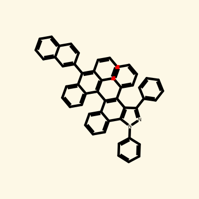 c1ccc(-c2nn(-c3ccccc3)c3c2c(-c2ccccc2)c(-c2c4ccccc4c(-c4ccc5ccccc5c4)c4ccccc24)c2ccccc23)cc1